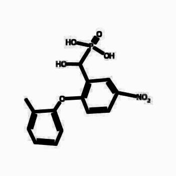 Cc1ccccc1Oc1ccc([N+](=O)[O-])cc1C(O)P(=O)(O)O